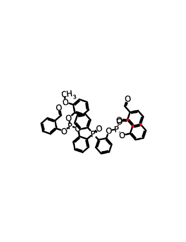 COc1ccccc1OP(Oc1ccccc1C=O)Oc1ccccc1P(=O)(c1ccccc1)c1ccccc1OP(Oc1ccccc1C=O)Oc1ccccc1C=O